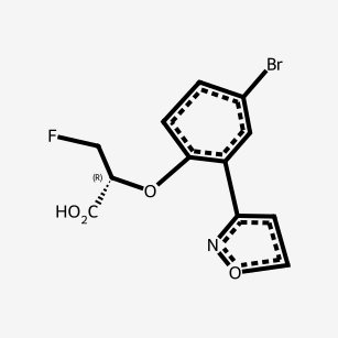 O=C(O)[C@H](CF)Oc1ccc(Br)cc1-c1ccon1